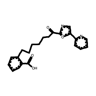 O=C(CCCCCCc1ccccc1C(=O)O)c1ncc(-c2ccccn2)o1